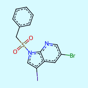 O=S(=O)(Cc1ccccc1)n1cc(I)c2cc(Br)cnc21